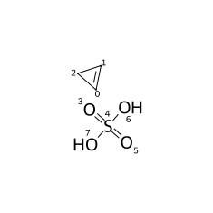 C1=CC1.O=S(=O)(O)O